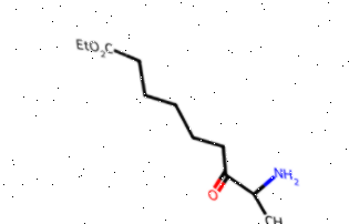 CCOC(=O)CCCCCC(=O)C(C)N